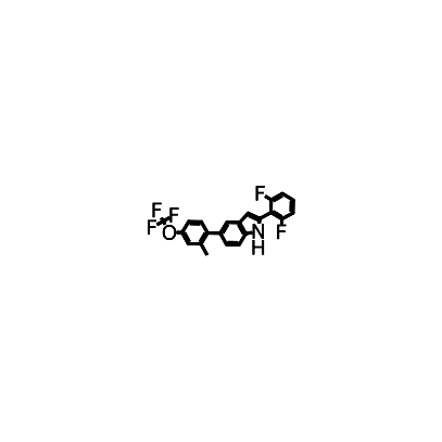 Cc1cc(OC(F)(F)F)ccc1-c1ccc2[nH]c(-c3c(F)cccc3F)cc2c1